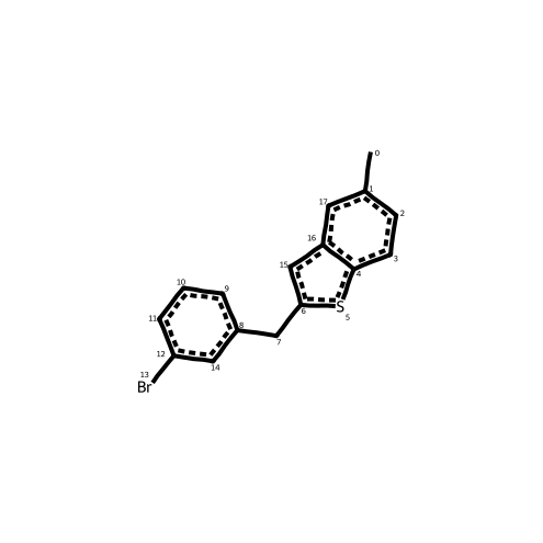 Cc1ccc2sc(Cc3cccc(Br)c3)cc2c1